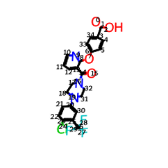 O=C(O)c1ccc(Oc2ncccc2C(=O)N2CCN(c3ccc(Cl)c(C(F)(F)F)c3)CC2)cc1